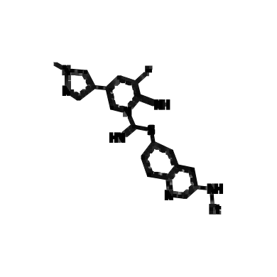 CCNc1cnc2ccc(SC(=N)n3cc(-c4cnn(C)c4)cc(F)c3=N)cc2c1